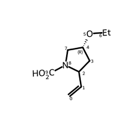 C=CC1C[C@@H](OCC)CN1C(=O)O